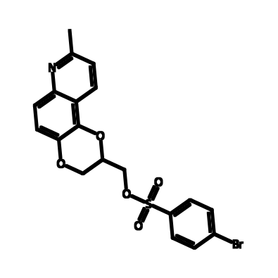 Cc1ccc2c3c(ccc2n1)OCC(COS(=O)(=O)c1ccc(Br)cc1)O3